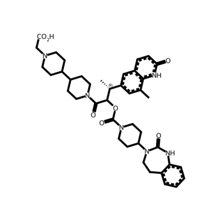 Cc1cc([C@@H](C)C(OC(=O)N2CCC(N3CCc4ccccc4NC3=O)CC2)C(=O)N2CCC(C3CCN(CC(=O)O)CC3)CC2)cc2ccc(=O)[nH]c12